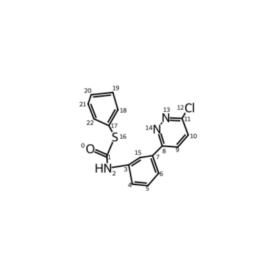 O=C(Nc1cccc(-c2ccc(Cl)nn2)c1)Sc1ccccc1